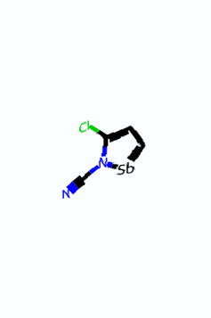 N#C[N]1[Sb]=[CH]C=C1Cl